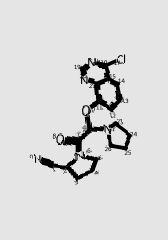 N#CC1CCCN1C(=O)C(Oc1cccc2c(Cl)ncnc12)N1CCCC1